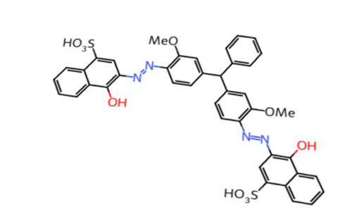 COc1cc(C(c2ccccc2)c2ccc(/N=N/c3cc(S(=O)(=O)O)c4ccccc4c3O)c(OC)c2)ccc1/N=N/c1cc(S(=O)(=O)O)c2ccccc2c1O